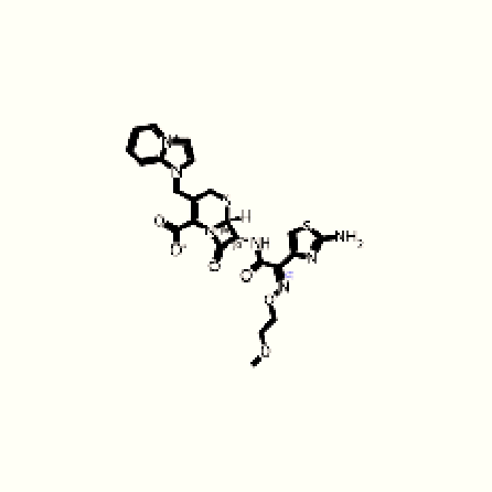 COCCO/N=C(\C(=O)N[C@@H]1C(=O)N2C(C(=O)[O-])=C(Cn3cc[n+]4ccccc34)CS[C@H]12)c1csc(N)n1